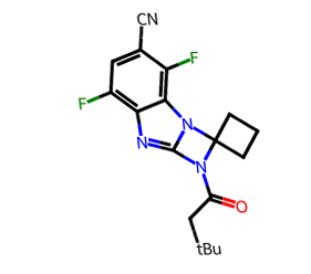 CC(C)(C)CC(=O)N1c2nc3c(F)cc(C#N)c(F)c3n2C12CCC2